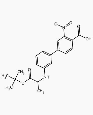 CC(Nc1cccc(-c2ccc(C(=O)O)c([N+](=O)[O-])c2)c1)C(=O)OC(C)(C)C